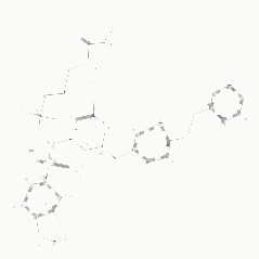 CNC(=O)OCCCC(C)(C)CN(C[C@@H](O)[C@H](Cc1ccc(OCc2ccccc2)cc1)NC(=O)O)S(=O)(=O)c1ccc2c(c1)OCO2